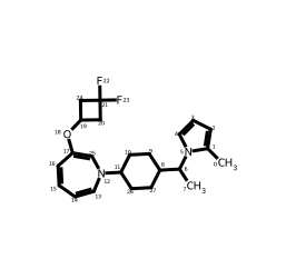 Cc1cccn1C(C)C1CCC(N2C=CC=CC(OC3CC(F)(F)C3)=C2)CC1